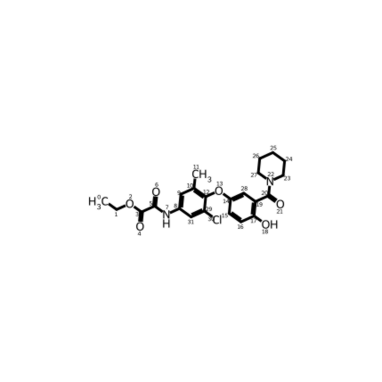 CCOC(=O)C(=O)Nc1cc(C)c(Oc2ccc(O)c(C(=O)N3CCCCC3)c2)c(Cl)c1